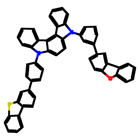 c1cc(-c2ccc3oc4ccccc4c3c2)cc(-n2c3ccccc3c3c4c5ccccc5n(-c5ccc(-c6ccc7c(c6)sc6ccccc67)cc5)c4ccc32)c1